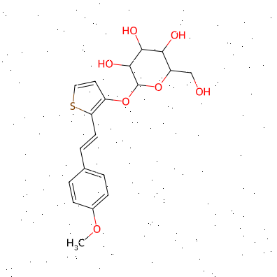 COc1ccc(C=Cc2sccc2OC2OC(CO)C(O)C(O)C2O)cc1